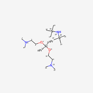 CCC[Si](CCC)(OCCN(C)C)OCCN(C)C.C[Si](C)(C)N[Si](C)(C)C